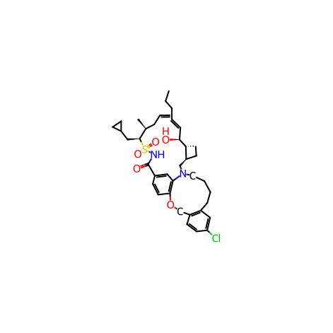 C=CC[C@H](C)[C@H](CC1CC1)S(=O)(=O)NC(=O)c1ccc2c(c1)N(C[C@@H]1CC[C@H]1[C@@H](O)/C=C/CCC)CCCCc1cc(Cl)ccc1CO2